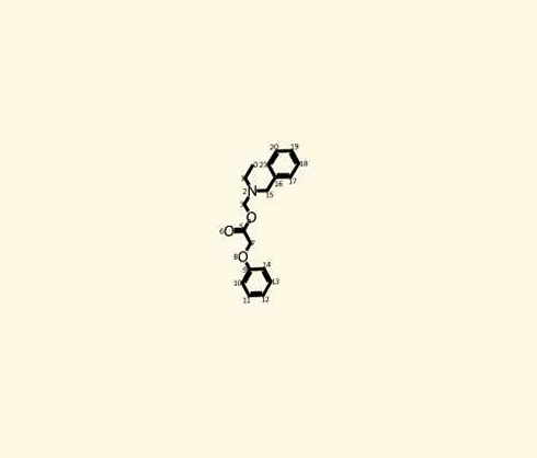 CCN(COC(=O)COc1ccccc1)Cc1ccccc1